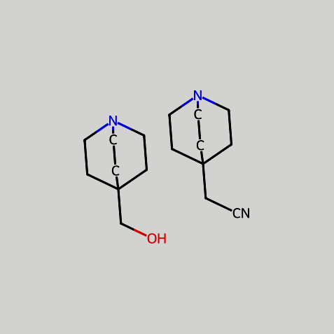 N#CCC12CCN(CC1)CC2.OCC12CCN(CC1)CC2